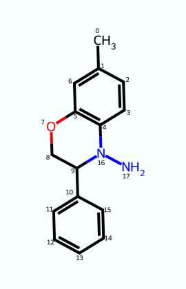 Cc1ccc2c(c1)OCC(c1ccccc1)N2N